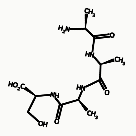 C[C@H](N)C(=O)N[C@@H](C)C(=O)N[C@@H](C)C(=O)N[C@@H](CO)C(=O)O